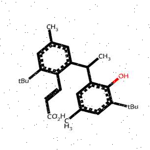 Cc1cc(C(C)c2cc(C)cc(C(C)(C)C)c2C=CC(=O)O)c(O)c(C(C)(C)C)c1